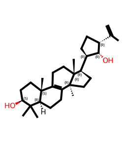 C=C(C)[C@H]1CC[C@H]([C@H]2CC[C@@]3(C)C4=C(CC[C@]23C)[C@@]2(C)CC[C@H](O)C(C)(C)[C@@H]2CC4)[C@H]1O